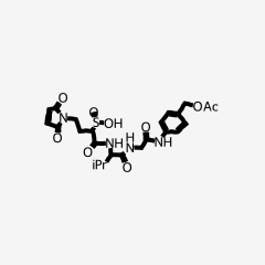 CC(=O)OCc1ccc(NC(=O)CNC(=O)C(NC(=O)C(CCN2C(=O)C=CC2=O)S(=O)O)C(C)C)cc1